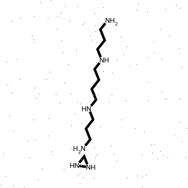 C1NN1.NCCCNCCCCNCCCN